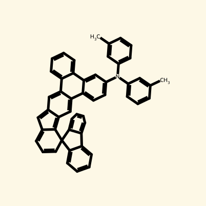 Cc1cccc(N(c2cccc(C)c2)c2ccc3c(c2)c2ccccc2c2cc4c(cc32)=C2C(=CC=CC23c2ccccc2-c2ccccc23)C=4)c1